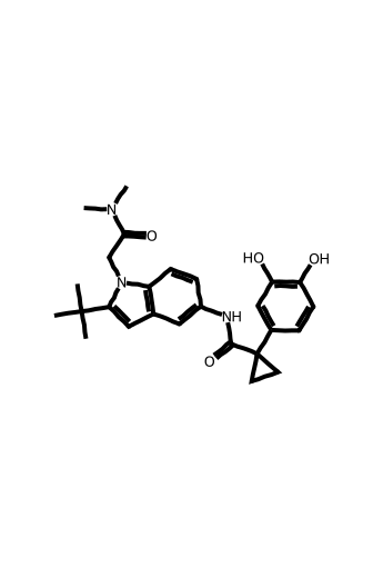 CN(C)C(=O)Cn1c(C(C)(C)C)cc2cc(NC(=O)C3(c4ccc(O)c(O)c4)CC3)ccc21